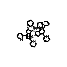 CC1=Cc2c(-c3ccccn3)cc(-c3ccccn3)cc2[CH]1[Zr]([CH]1C(C)=Cc2c(-c3ccccn3)cc(-c3ccccn3)cc21)[SiH](c1ccccc1)c1ccccc1